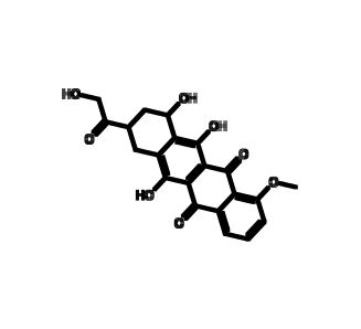 COc1cccc2c1C(=O)c1c(O)c3c(c(O)c1C2=O)CC(C(=O)CO)CC3O